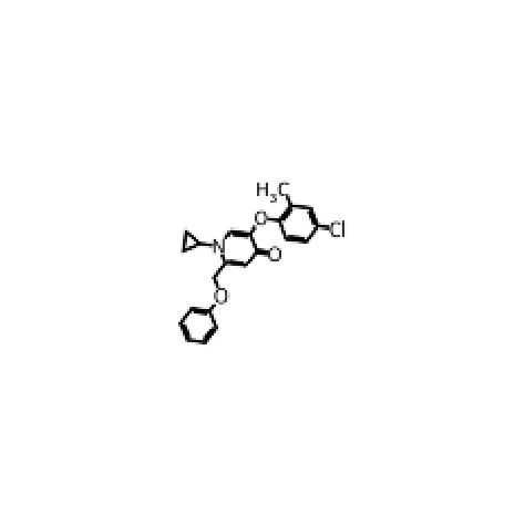 Cc1cc(Cl)ccc1Oc1cn(C2CC2)c(COc2ccccc2)cc1=O